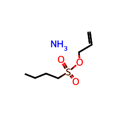 C=CCOS(=O)(=O)CCCC.N